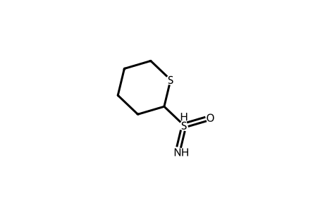 N=[SH](=O)C1CCCCS1